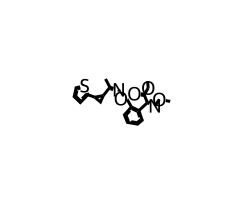 CO/N=C(\C(=O)OC)c1ccccc1CO/N=C(/C)C1CC1c1cccs1